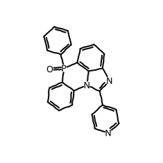 O=P1(c2ccccc2)c2ccccc2-n2c(-c3ccncc3)nc3cccc1c32